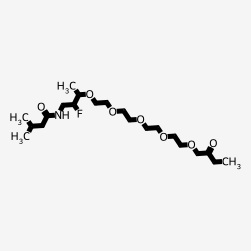 CCC(=O)COCCOCCOCCOCCOC(C)C(F)CNC(=O)CC(C)C